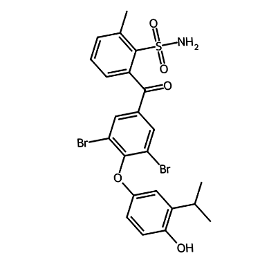 Cc1cccc(C(=O)c2cc(Br)c(Oc3ccc(O)c(C(C)C)c3)c(Br)c2)c1S(N)(=O)=O